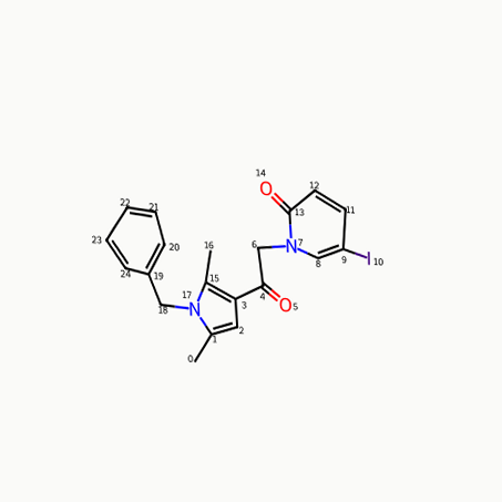 Cc1cc(C(=O)Cn2cc(I)ccc2=O)c(C)n1Cc1ccccc1